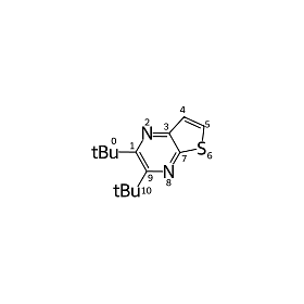 CC(C)(C)c1nc2ccsc2nc1C(C)(C)C